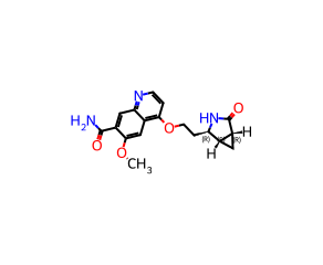 COc1cc2c(OCC[C@H]3NC(=O)[C@@H]4C[C@H]34)ccnc2cc1C(N)=O